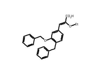 CCOC(=Cc1ccc(Cc2ccccc2)c(OCc2ccccc2)c1)C(=O)O